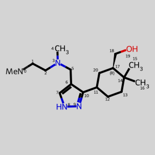 CNCCN(C)Cc1c[nH]nc1C1CCC(C)(C)[C@H](CO)C1